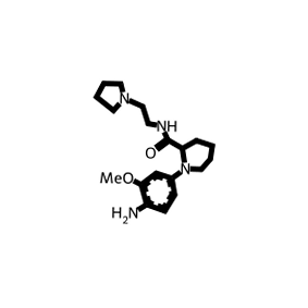 COc1cc(N2CCCCC2C(=O)NCCN2CCCC2)ccc1N